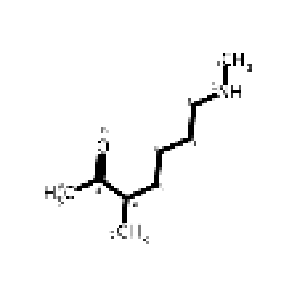 CNCCCCC(C)C(C)=O